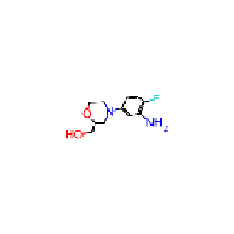 Nc1cc(N2CCO[C@H](CO)C2)ccc1F